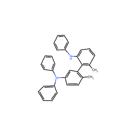 Cc1ccc(N(c2ccccc2)c2ccccc2)cc1-c1c(C)cccc1Nc1ccccc1